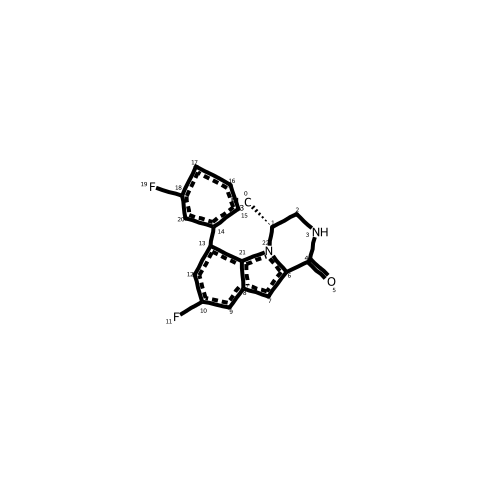 C[C@@H]1CNC(=O)c2cc3cc(F)cc(-c4cccc(F)c4)c3n21